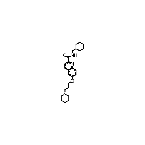 O=C(NCC1CCCCC1)c1ccc2cc(OCCCN3CCCCC3)ccc2n1